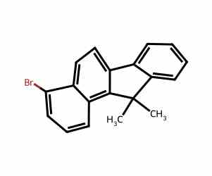 CC1(C)c2ccccc2-c2ccc3c(Br)cccc3c21